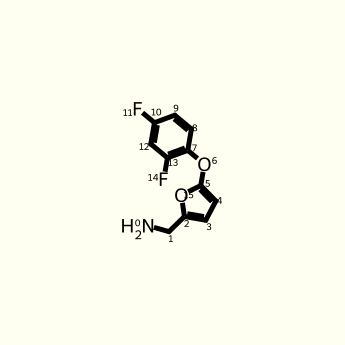 NCc1ccc(Oc2ccc(F)cc2F)o1